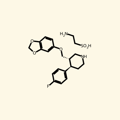 Fc1ccc([C@@H]2CCNC[C@H]2COc2ccc3c(c2)OCO3)cc1.NCCS(=O)(=O)O